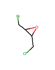 ClCC1OC1CBr